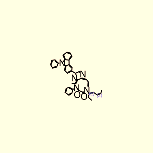 C/C=C\C=C(/CC)n1cccc2ncc(-c3ccc4c(c3)c3ccccc3n4-c3ccccc3)nc2c(C)n(-c2ccccc2)c(=O)c1=O